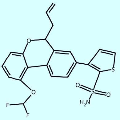 C=CCC1Oc2cccc(OC(F)F)c2-c2ccc(-c3ccsc3S(N)(=O)=O)cc21